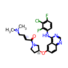 CN(C)C/C=C/C(=O)N1CC[C@H](Oc2ccc3ncnc(Nc4ccc(F)c(Cl)c4F)c3c2)C1